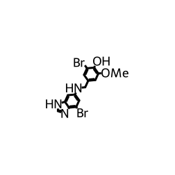 COc1cc(CNc2cc(Br)c3nc[nH]c3c2)cc(Br)c1O